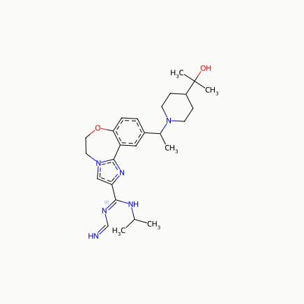 CC(C)N/C(=N\C=N)c1cn2c(n1)-c1cc(C(C)N3CCC(C(C)(C)O)CC3)ccc1OCC2